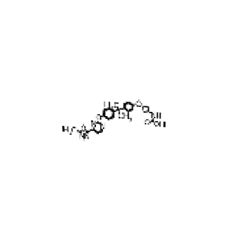 Cc1nnc(-c2ccnc(Oc3ccc(C(C)(C)c4ccc(O[C@H]5C[C@H](NC(=O)O)C5)cc4)cc3)n2)o1